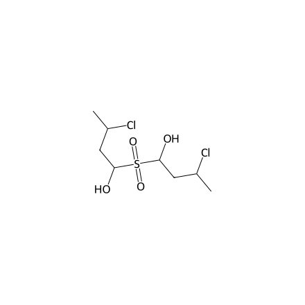 CC(Cl)CC(O)S(=O)(=O)C(O)CC(C)Cl